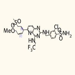 COC/C=C\C(=C/CS(C)(=O)=O)c1ccc2nc(NCc3ccc(S(N)(=O)=O)c(Cl)c3)nc(NCC(F)(F)F)c2n1